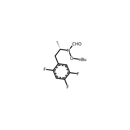 CCCCON(C=O)[C@@H](C)Cc1cc(F)c(F)cc1F